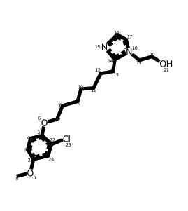 COc1ccc(OCCCCCCCc2nccn2CCO)c(Cl)c1